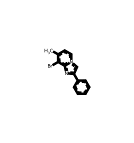 Cc1ccn2cc(-c3ccccc3)nc2c1Br